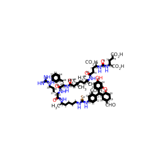 C[C@H](CCCCNC(=S)Nc1ccc(C2=C3C=C(C=O)CC=C3Oc3cc(O)ccc32)c(C(=O)O)c1)NC(=O)[C@H](CCCNC(=N)N)NC(=O)[C@H](Cc1ccccc1)NC(=O)CC(C)(C)CCC(C)(C)NC(=O)CC[C@H](NC(=O)N[C@@H](CCC(=O)O)C(=O)O)C(=O)O